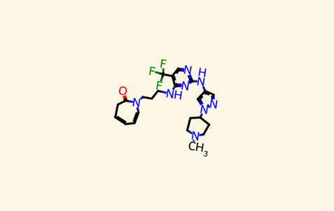 CN1CCC(n2cc(Nc3ncc(C(F)(F)F)c(NCCCN4C=CC=CCC4=O)n3)cn2)CC1